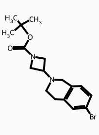 CC(C)(C)OC(=O)N1CC(N2CCc3cc(Br)ccc3C2)C1